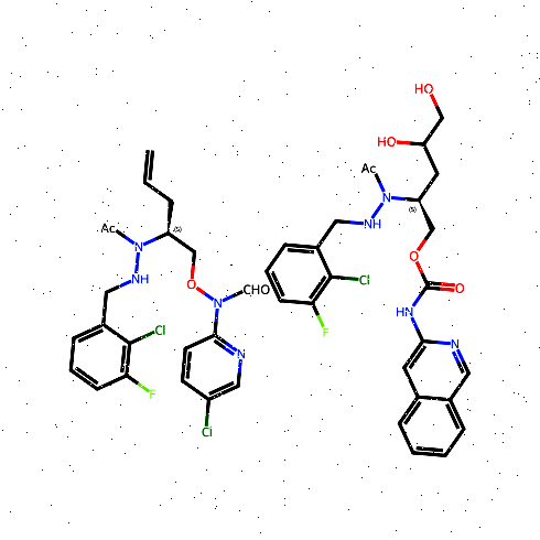 C=CC[C@@H](CON(C=O)c1ccc(Cl)cn1)N(NCc1cccc(F)c1Cl)C(C)=O.CC(=O)N(NCc1cccc(F)c1Cl)[C@H](COC(=O)Nc1cc2ccccc2cn1)CC(O)CO